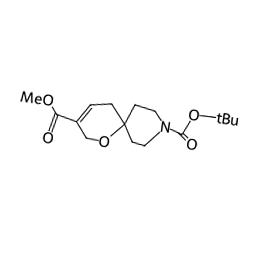 COC(=O)C1=CCC2(CCN(C(=O)OC(C)(C)C)CC2)OC1